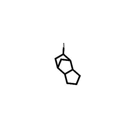 IC1CC2CC1C1CCCC21